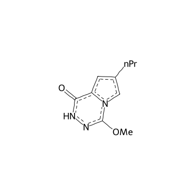 CCCc1cc2c(=O)[nH]nc(OC)n2c1